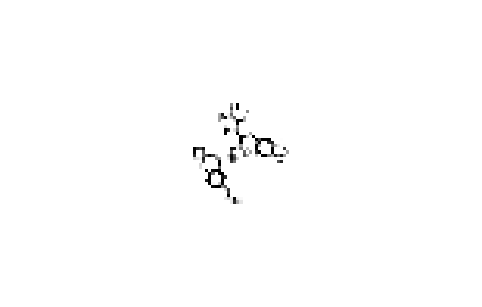 C[C@@H](F)C(=O)N[C@@H](Cc1ccc2c(c1)OCO2)[C@@H](O)CN[C@H]1CC2(CCC2)Oc2ncc(CC(C)(C)C)cc21